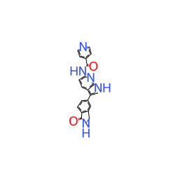 O=C(Nc1ccc2c(-c3ccc4c(c3)CNC4=O)c[nH]c2n1)c1ccncc1